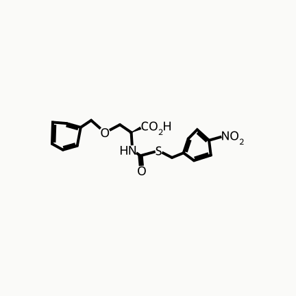 O=C(N[C@@H](COCc1ccccc1)C(=O)O)SCc1ccc([N+](=O)[O-])cc1